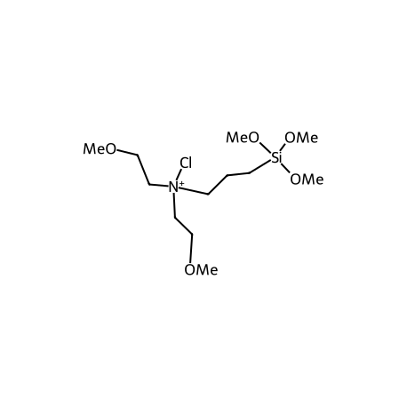 COCC[N+](Cl)(CCC[Si](OC)(OC)OC)CCOC